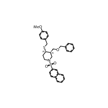 COc1ccc(CS[C@@H]2CCN(S(=O)(=O)c3ccc4ccccc4c3)C[C@@H]2COCc2ccccc2)cc1